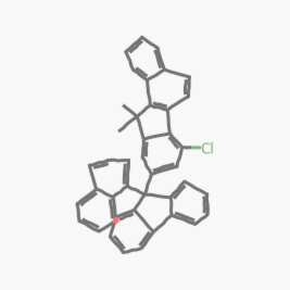 CC1(C)c2cc(C3(c4cccc5ccccc45)c4ccccc4-c4ccccc43)cc(Cl)c2-c2ccc3ccccc3c21